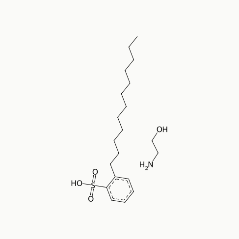 CCCCCCCCCCCCc1ccccc1S(=O)(=O)O.NCCO